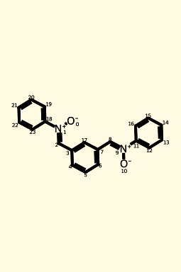 [O-][N+](=Cc1cccc(C=[N+]([O-])c2ccccc2)c1)c1ccccc1